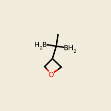 BC(B)(C)C1COC1